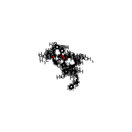 CN[C@H](CC(C)C)C(=O)N[C@H]1C(=O)N[C@@H](CC(N)=O)C(=O)N[C@H]2C(=O)N[C@H]3C(=O)N[C@H](C(=O)N[C@@H](C(=O)O)c4cc(O)cc(O)c4-c4cc3ccc4O)[C@H](OC3C[C@](C)(N)[C@@H](O)[C@H](C)O3)c3ccc(c(Cl)c3)Oc3cc2cc(c3O[C@@H]2O[C@H](CO)[C@@H](O[C@@H]3O[C@H](CNCc4csc(-c5ccccc5)n4)[C@H](O)[C@H](O)[C@H]3O)[C@H](O)[C@H]2O)Oc2ccc(cc2Cl)[C@H]1O